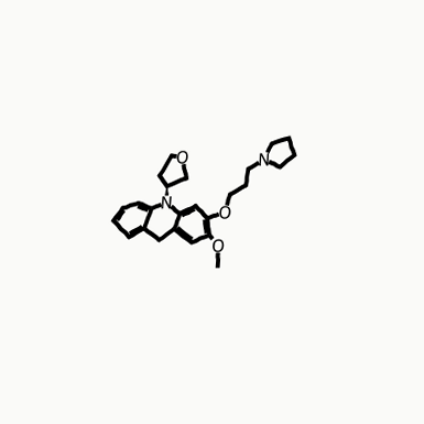 COc1cc2c(cc1OCCCN1CCCC1)N([C@H]1CCOC1)c1ccccc1C2